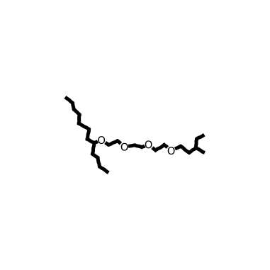 CCCCCCCC(CCCC)OCCOCCOCCOCCC(C)CC